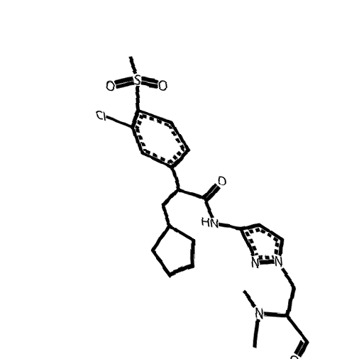 CN(C)C(C=O)Cn1ccc(NC(=O)C(CC2CCCC2)c2ccc(S(C)(=O)=O)c(Cl)c2)n1